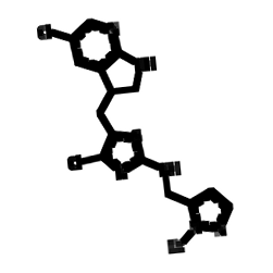 CCn1nccc1CNc1nc(Cl)c(CC2CNc3ncc(Cl)cc32)s1